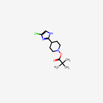 CC(C)(C)C(=O)ON1CCC(c2nc(Cl)c[nH]2)CC1